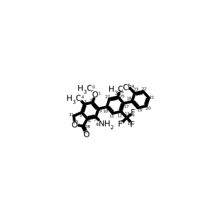 COc1c(C)c2c(c(N)c1-c1[c]c(C(F)(F)F)c(-c3ccccc3Cl)c(C)c1)C(=O)OC2